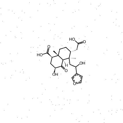 C[C@@]1(CC(O)c2ccoc2)[C@@H](CC(=O)O)CC[C@]2(C)[C@@H]1C(=O)[C@@H](O)C[C@H]2C(=O)O